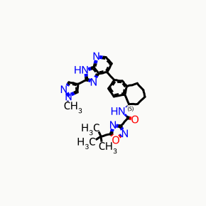 Cn1cc(-c2nc3c(-c4ccc5c(c4)CCCC[C@@H]5NC(=O)c4noc(C(C)(C)C)n4)ccnc3[nH]2)cn1